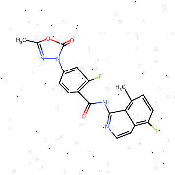 Cc1nn(-c2ccc(C(=O)Nc3nccc4c(F)ccc(C)c34)c(F)c2)c(=O)o1